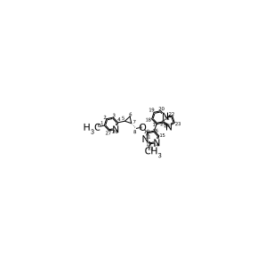 Cc1ccc(C2C[C@@H]2COc2nc(C)ncc2-c2cccn3ccnc23)nc1